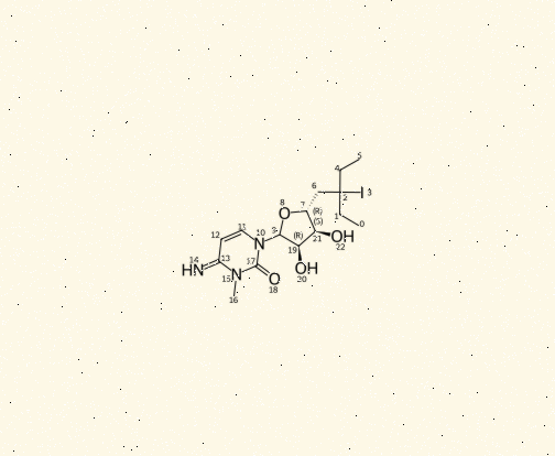 CCC(I)(CC)C[C@H]1OC(n2ccc(=N)n(C)c2=O)[C@H](O)[C@@H]1O